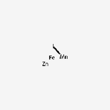 [Fe].[Mn][I].[Zn]